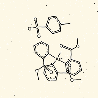 COC(=O)c1ccccc1[As+](C)(c1ccccc1C(=O)OC)c1ccccc1C(=O)OC.Cc1ccc(S(=O)(=O)[O-])cc1